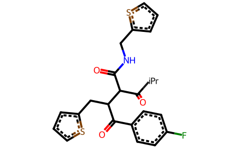 CC(C)C(=O)C(C(=O)NCc1cccs1)C(Cc1cccs1)C(=O)c1ccc(F)cc1